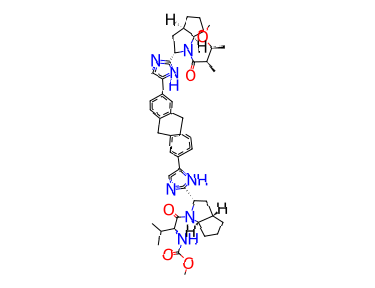 COC(=O)N[C@H](C(=O)N1[C@H](c2ncc(-c3ccc4c(c3)Cc3ccc(-c5cnc([C@@H]6C[C@H]7CCC[C@H]7N6C(=O)[C@H](C)[C@H](C)OC)[nH]5)cc3C4)[nH]2)C[C@@H]2CCC[C@@H]21)C(C)C